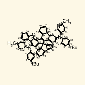 Cc1ccc(N(c2ccc(C(C)(C)C)cc2)c2cc3c(c4oc5ccccc5c24)-c2c(c4ccc(N(c5ccc(C(C)(C)C)cc5)c5ccc(C)nc5)cc4c4ccccc24)C32c3ccccc3-c3ccccc32)nc1